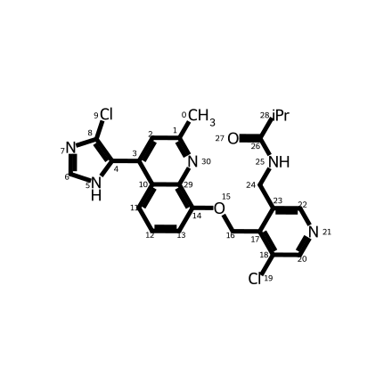 Cc1cc(-c2[nH]cnc2Cl)c2cccc(OCc3c(Cl)cncc3CNC(=O)C(C)C)c2n1